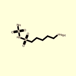 CCCCCCCCCCCCS(=O)(=O)NS([NH])(=O)=O